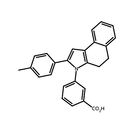 Cc1ccc(-c2cc3c(n2-c2cccc(C(=O)O)c2)CCc2ccccc2-3)cc1